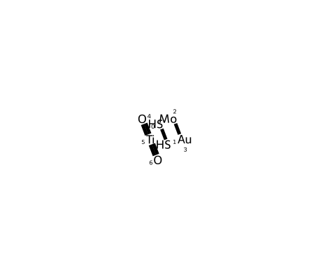 SS.[Mo][Au].[O]=[Ti]=[O]